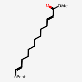 CCCCCC=CCCCCCCCCC=CC(=O)OC